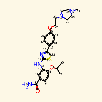 CC(C)Oc1ccc(C(N)=O)cc1Nc1nc(-c2ccc(OCCN3CCN(C)CC3)cc2)cs1